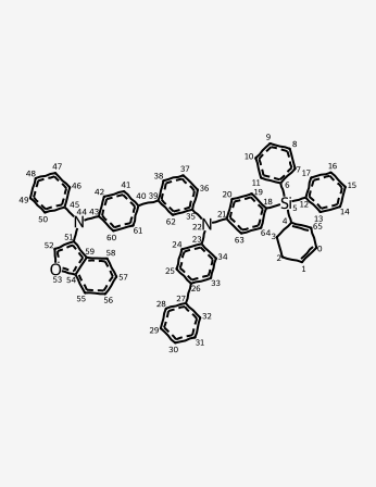 C1=CCCC([Si](c2ccccc2)(c2ccccc2)c2ccc(N(c3ccc(-c4ccccc4)cc3)c3cccc(-c4ccc(N(c5ccccc5)c5coc6ccccc56)cc4)c3)cc2)=C1